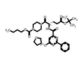 CCCCOC(=O)N1CCN(C(=O)[C@H](CCC(=O)OC(C)(C)C)NC(=O)c2cc(O[C@@H]3CCOC3)nc(-c3ccccc3)n2)CC1